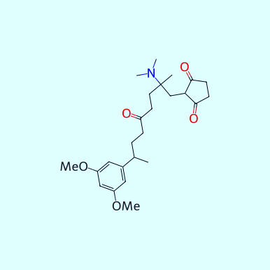 COc1cc(OC)cc(C(C)CCC(=O)CCC(C)(CC2C(=O)CCC2=O)N(C)C)c1